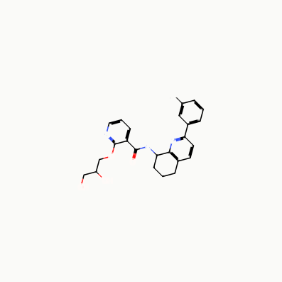 O=C(NC1CCCc2ccc(-c3cccc(C(F)(F)F)c3)nc21)c1cccnc1OCC(O)CO